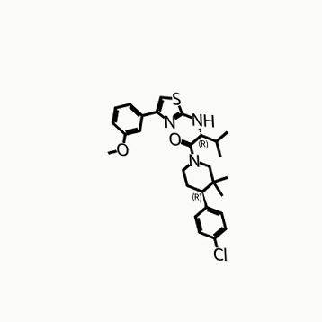 COc1cccc(-c2csc(N[C@@H](C(=O)N3CC[C@H](c4ccc(Cl)cc4)C(C)(C)C3)C(C)C)n2)c1